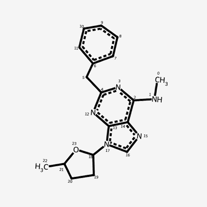 CNc1nc(Cc2ccccc2)nc2c1ncn2C1CCC(C)O1